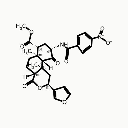 COC(=O)[C@@H]1C[C@H](NC(=O)c2ccc([N+](=O)[O-])cc2)C(=O)[C@H]2[C@@]1(C)CC[C@H]1C(=O)O[C@H](c3ccoc3)C[C@]21C